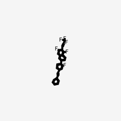 Fc1cc(C#Cc2ccccc2)ccc1-c1ccc2c(F)c(C#CC(F)(F)F)c(F)cc2c1